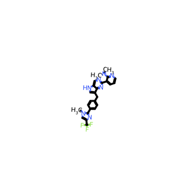 CN(C)c1ncccc1-c1ncc2[nH]cc(Cc3ccc(-c4nc(C(F)(F)F)cn4C)cc3)c2n1